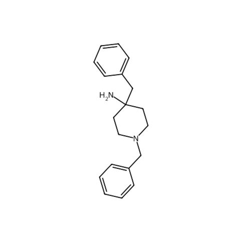 NC1(Cc2ccccc2)CCN(Cc2ccccc2)CC1